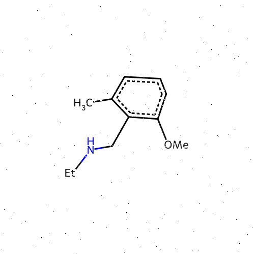 CCNCc1c(C)cccc1OC